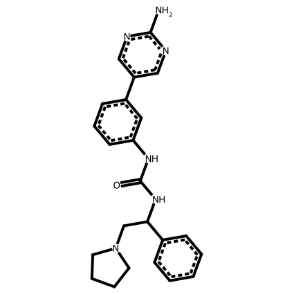 Nc1ncc(-c2cccc(NC(=O)NC(CN3CCCC3)c3ccccc3)c2)cn1